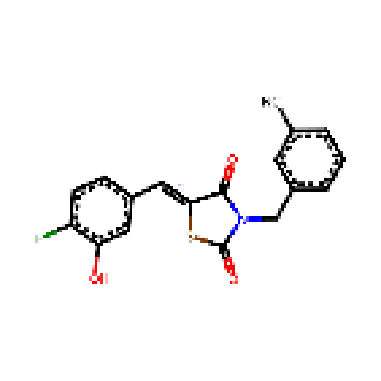 N#Cc1cccc(CN2C(=O)S/C(=C\c3ccc(F)c(O)c3)C2=O)c1